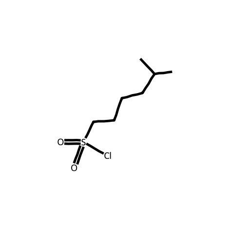 CC(C)CCCCS(=O)(=O)Cl